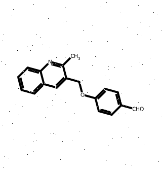 Cc1nc2ccccc2cc1COc1ccc([C]=O)cc1